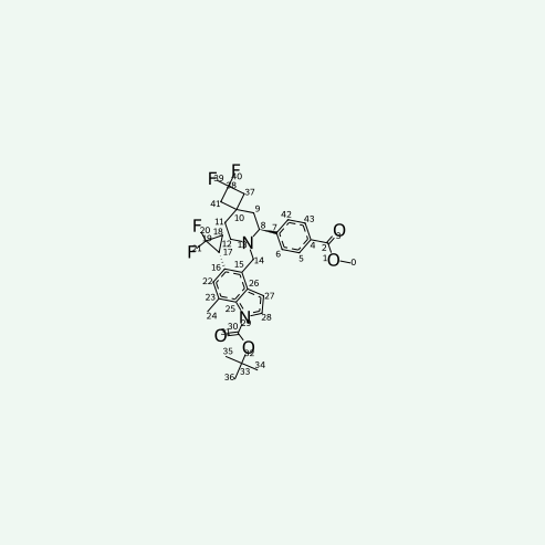 COC(=O)c1ccc([C@@H]2CC3(CCN2Cc2c([C@H]4CC4(F)F)cc(C)c4c2ccn4C(=O)OC(C)(C)C)CC(F)(F)C3)cc1